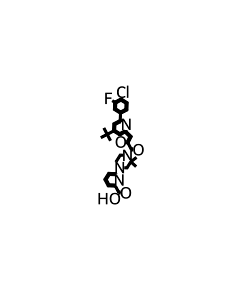 CC(C)(C)c1cc(-c2ccc(Cl)c(F)c2)nc2cc(C(=O)N3CCN(c4cccc(C(=O)O)n4)CC3(C)C)oc12